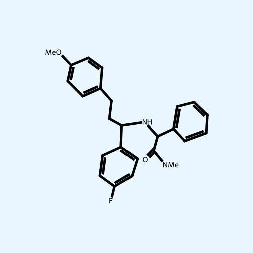 CNC(=O)C(NC(CCc1ccc(OC)cc1)c1ccc(F)cc1)c1ccccc1